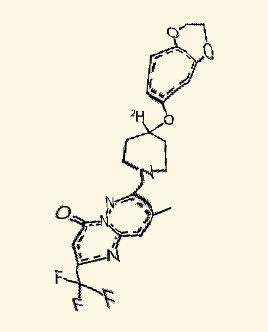 [2H]C1(Oc2ccc3c(c2)OCCO3)CCN(c2nn3c(=O)cc(C(F)(F)F)nc3cc2C)CC1